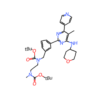 Cc1c(NC2CCOCC2)nc(-c2cccc(CN(CCN(C)C(=O)OC(C)(C)C)C(=O)OC(C)(C)C)c2)nc1-c1ccncc1